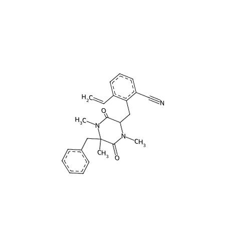 C=Cc1cccc(C#N)c1CC1C(=O)N(C)C(C)(Cc2ccccc2)C(=O)N1C